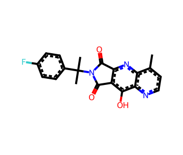 Cc1ccnc2c(O)c3c(nc12)C(=O)N(C(C)(C)c1ccc(F)cc1)C3=O